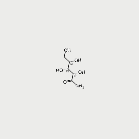 NC(=O)[C@@H](O)[C@H](O)[C@@H](O)CO